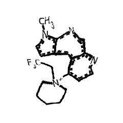 Cn1ccc2c3c([N+]4(CC(F)(F)F)CCCCC4)ccnc3cnc21